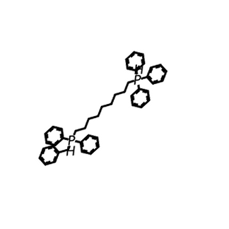 c1ccc(C[PH](CCCCCCCCC[PH](c2ccccc2)(c2ccccc2)c2ccccc2)(c2ccccc2)c2ccccc2)cc1